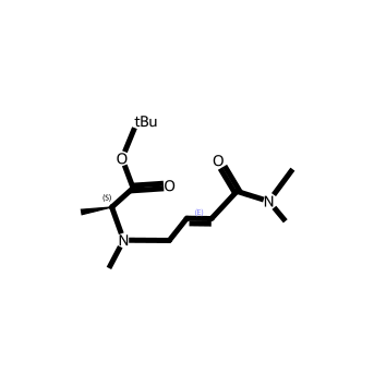 C[C@@H](C(=O)OC(C)(C)C)N(C)C/C=C/C(=O)N(C)C